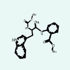 CC(C)(C)OC(=O)NC(Cc1c[nH]c2ccccc12)C(C#N)Nc1ccccc1C(=O)OC(C)(C)C